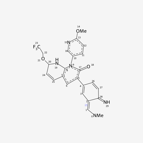 CN/C=C1/C=C(c2cc3c(n(-c4ccc(OC)nc4)c2=O)NC(OCC(F)(F)F)C=C3)C=CC1=N